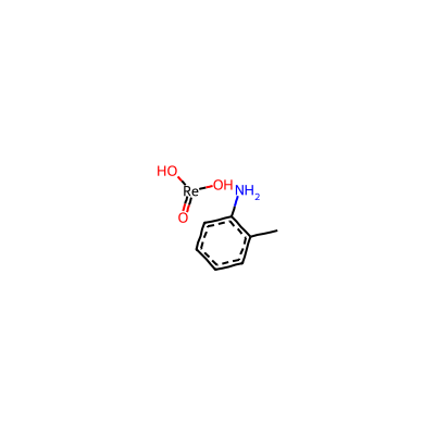 Cc1ccccc1N.[O]=[Re]([OH])[OH]